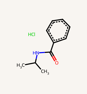 CC(C)NC(=O)c1ccccc1.Cl